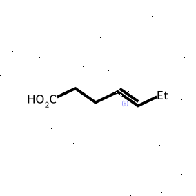 CC/C=C/CCC(=O)O